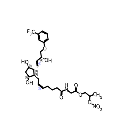 CC(COC(=O)CNC(=O)CCC/C=C\C[C@@H]1[C@@H](/C=C/[C@@H](O)COc2cccc(C(F)(F)F)c2)[C@H](O)C[C@@H]1O)O[N+](=O)[O-]